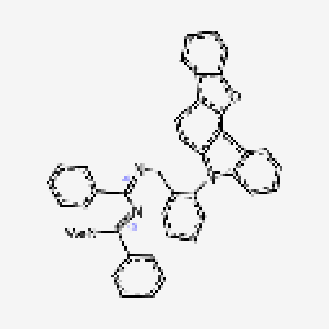 CN/C(=N\C(=N/Cc1ccccc1-n1c2ccccc2c2c3oc4ccccc4c3ccc21)c1ccccc1)c1ccccc1